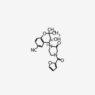 CC1(C)Oc2ccc(C#N)cc2[C@H](N2CCN(C(=O)c3ccco3)CC2=O)[C@H]1O